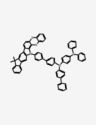 CC1(C)c2ccccc2-c2cc3c(cc21)c1ccc2c(c1n3-c1ccc(-c3ccc(N(c4ccc(-c5ccccc5)cc4)c4ccc(N(c5ccccc5)c5ccccc5)cc4)cc3)cc1)Sc1ccccc1S2